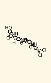 O=C(Nc1ccc2oc(C(=O)Nc3ccc4[nH]c(C(=O)Nc5cc(O)ccc5CCCl)cc4c3)cc2c1)c1ccc(N(CCCl)CCCl)cc1